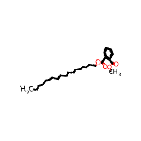 CCCCCCCCCCCCCCCCCCOC(=O)c1ccccc1C(=O)OC